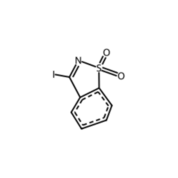 O=S1(=O)N=C(I)c2ccccc21